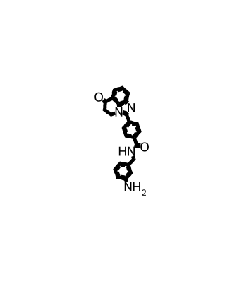 Nc1cccc(CNC(=O)c2ccc(-c3nc4cccc5c4n3CCC5=O)cc2)c1